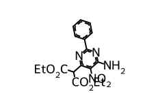 CCOC(=O)C(C(=O)OCC)c1nc(-c2ccccc2)nc(N)c1[N+](=O)[O-]